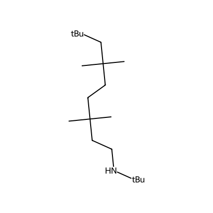 CC(C)(C)CC(C)(C)CCC(C)(C)CCNC(C)(C)C